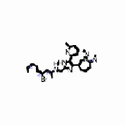 C=NN1C=C(c2nc(CN/C(C)=C/C(Br)=C\C/C=C\C)[nH]c2-c2cccc(C)n2)CC=C/C1=N/C